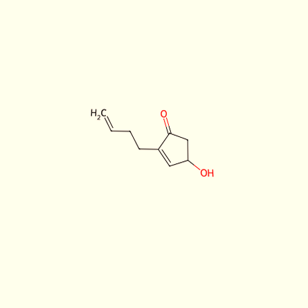 C=CCCC1=CC(O)CC1=O